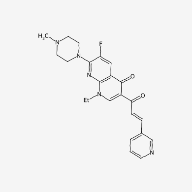 CCn1cc(C(=O)C=Cc2cccnc2)c(=O)c2cc(F)c(N3CCN(C)CC3)nc21